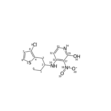 CCC(Cc1sccc1Cl)Nc1ccnc(O)c1[N+](=O)[O-]